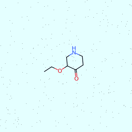 CCOC1CNCCC1=O